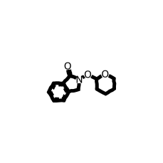 O=C1c2ccccc2CN1OC1CCCCO1